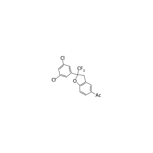 CC(=O)c1ccc2c(c1)CC(c1cc(Cl)cc(Cl)c1)(C(F)(F)F)O2